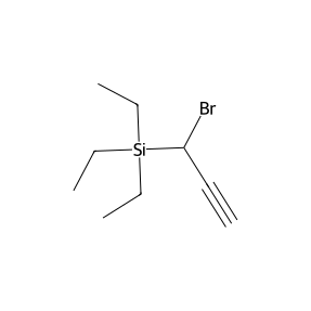 C#CC(Br)[Si](CC)(CC)CC